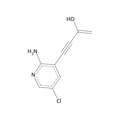 C=C(O)C#Cc1cc(Cl)cnc1N